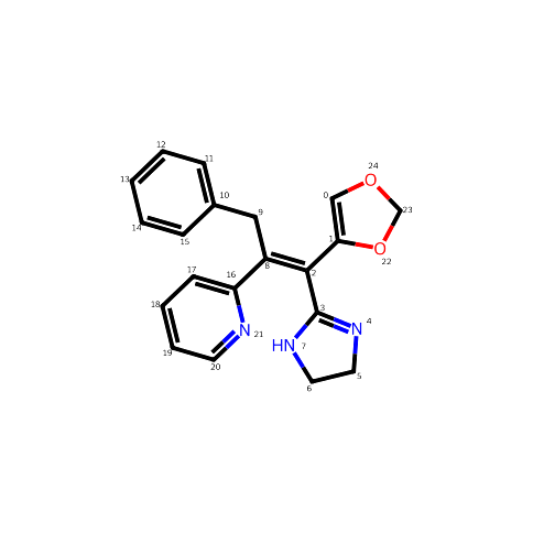 C1=C(C(C2=NCCN2)=C(Cc2ccccc2)c2ccccn2)OCO1